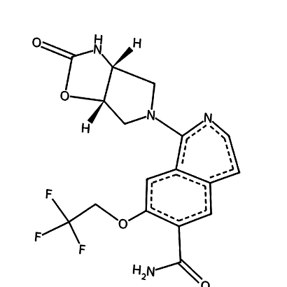 NC(=O)c1cc2ccnc(N3C[C@@H]4OC(=O)N[C@@H]4C3)c2cc1OCC(F)(F)F